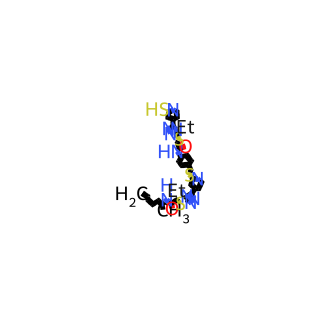 C=C/C=C\C=C(/C)NC(=O)CSc1nnc(-c2ccnc(SCc3ccc(NC(=O)CSc4nnc(-c5ccnc(S)c5)n4CC)cc3)c2)n1CC